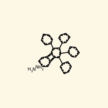 N.N.c1ccc(-c2c(-c3ccccc3)c(-c3ccccc3)c3c(c2-c2ccccc2)=c2ccccc2=3)cc1